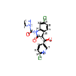 CCNC(=O)N1C(=O)C(C(=O)c2ccc(Cl)nc2)c2ccc(Cl)cc21